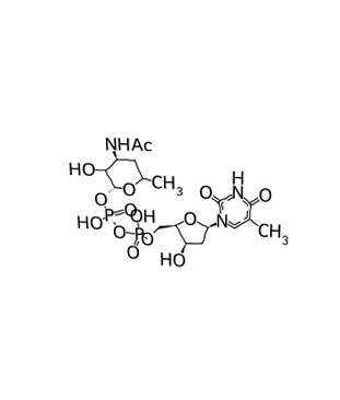 CC(=O)N[C@H]1CC(C)O[C@H](OP(=O)(O)OP(=O)(O)OC[C@H]2O[C@@H](n3cc(C)c(=O)[nH]c3=O)C[C@H]2O)C1O